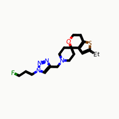 CCc1cc2c(s1)CCOC21CCN(Cc2cn(CCCF)nn2)CC1